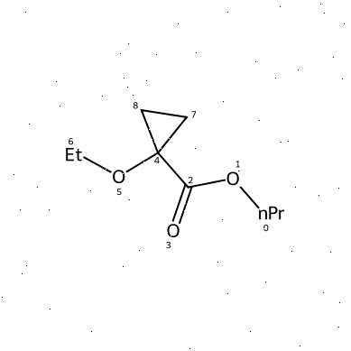 CCCOC(=O)C1(OCC)CC1